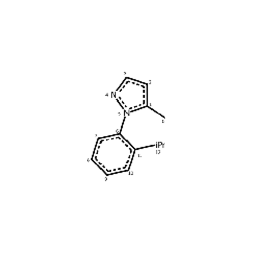 Cc1ccnn1-c1ccccc1C(C)C